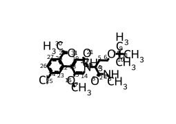 CNC(=O)C(CCOC(C)(C)C)N(C)/C=C(OC)\C(=C/C=O)c1cc(Cl)ccc1C(C)=O